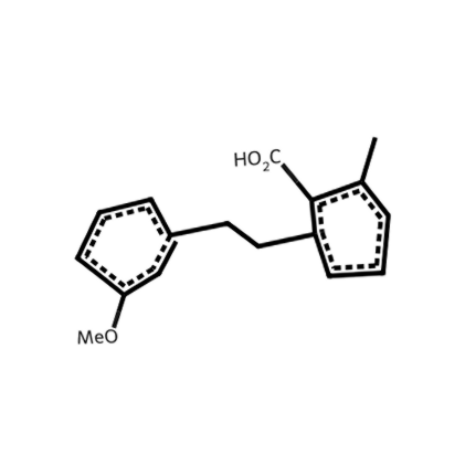 COc1cccc(CCc2cccc(C)c2C(=O)O)c1